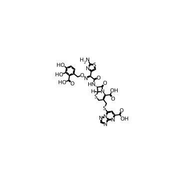 Nc1nc(C(=NOCc2ccc(O)c(O)c2C(=O)O)C(=O)N[C@@H]2C(=O)N3C(C(=O)O)=C(CSc4cc(C(=O)O)nc5ncnn45)CS[C@H]23)cs1